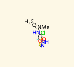 CNC(CNc1cc(F)c(S(=O)(=O)Nc2nccs2)cc1Cl)Cc1ccc(C)cc1